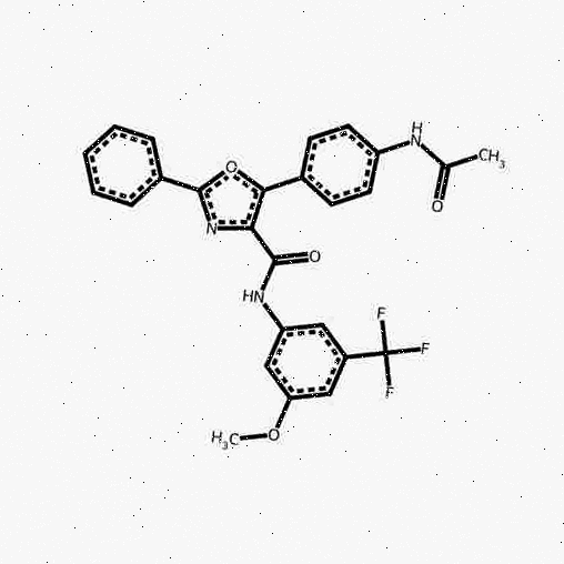 COc1cc(NC(=O)c2nc(-c3ccccc3)oc2-c2ccc(NC(C)=O)cc2)cc(C(F)(F)F)c1